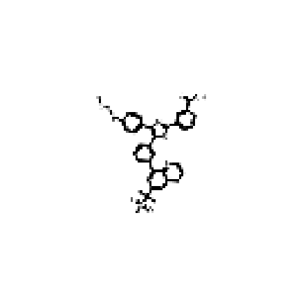 COOSc1ccc(-c2nc(-c3cccc(C(=O)O)c3)sc2-c2cccc(-c3cc(C(C)(C)S(C)(=O)=O)cc4cccnc34)c2)cc1